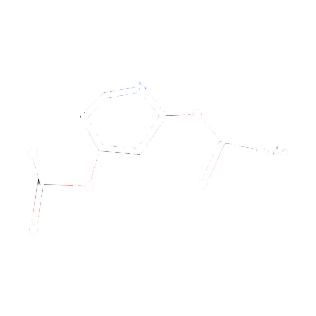 COC(=O)Oc1cc(OC(=O)Cl)ccn1